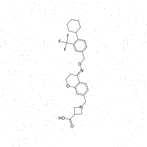 O=C(O)C1CN(Cc2ccc3c(c2)OCCC3=NOCc2ccc(C3CCCCC3)c(C(F)(F)F)c2)C1